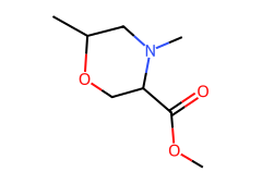 COC(=O)C1COC(C)CN1C